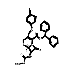 CC(C)(C)OC(=O)NC1C(=O)N2C(C(=O)OC(c3ccccc3)c3ccccc3)=C(COc3ccc(F)cc3)CS[C@H]12